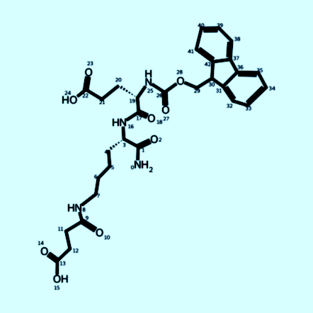 NC(=O)[C@H](CCCCNC(=O)CCC(=O)O)NC(=O)[C@H](CCC(=O)O)NC(=O)OCC1c2ccccc2-c2ccccc21